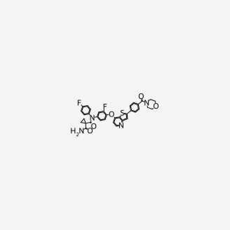 NC(=O)C1(C(=O)N(c2ccc(F)cc2)c2ccc(Oc3ccnc4cc(-c5ccc(C(=O)N6CCOCC6)cc5)sc34)c(F)c2)CC1